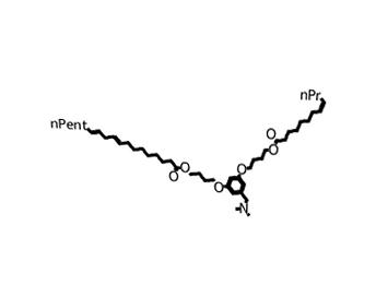 CCC/C=C\CCCCCCC(=O)OCCCCOc1cc(CN(C)C)cc(OCCCCOC(=O)CCCCCCCC=CCC=CCCCCC)c1